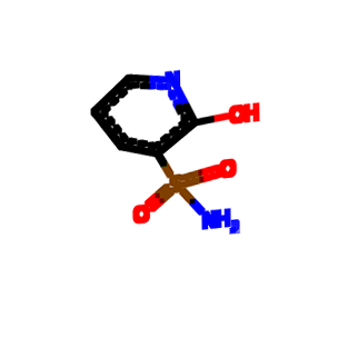 NS(=O)(=O)c1cccnc1O